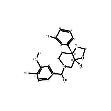 COc1cc(C(O)N2CC[C@]3(c4cccc(F)c4)OCO[C@@H]3C2)ccc1F